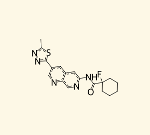 Cc1nnc(-c2cnc3cnc(NC(=O)C4(F)CCCCC4)cc3c2)s1